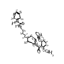 COc1cccc(OC)c1C(=O)N1CCC(CCCCNC(=S)Nc2cccnc2)CC1